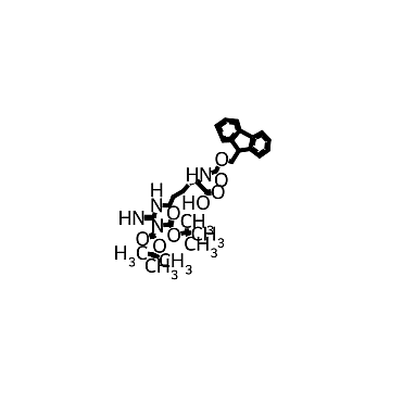 CC(C)(C)OC(=O)N(C(=N)NCCCC[C@H](NC(=O)OCC1c2ccccc2-c2ccccc21)C(=O)O)C(=O)OC(C)(C)C